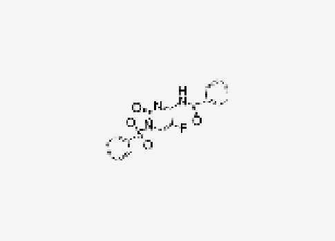 O=C(Nc1nc(=O)n(S(=O)(=O)c2ccccc2)cc1F)c1ccccc1